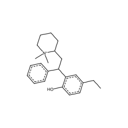 CCc1ccc(O)c(C(CC2CCCC[N+]2(C)C)c2ccccc2)c1